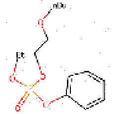 CCCCOCCOP(=O)(OCC)Oc1ccccc1